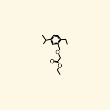 CCOC(=O)COCc1cc(C(C)C)ccc1CC